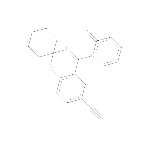 N#Cc1ccc2c(c1)C(n1ccccc1=O)=NC1(CCCCC1)O2